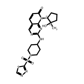 C[C@]1(O)CCC[C@@H]1n1c(=O)ccc2cnc(NC3CCN(S(=O)(=O)c4nncs4)CC3)nc21